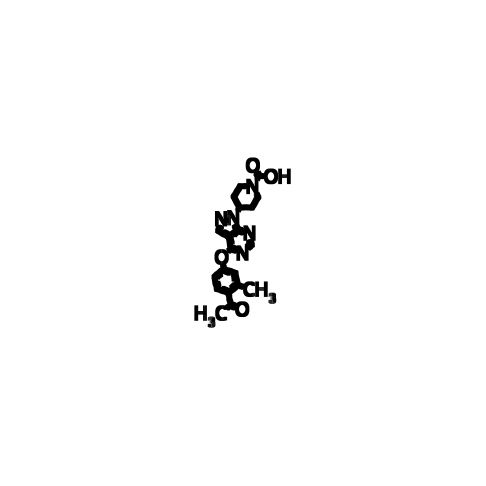 CC(=O)c1ccc(Oc2ncnc3c2cnn3C2CCN(C(=O)O)CC2)cc1C